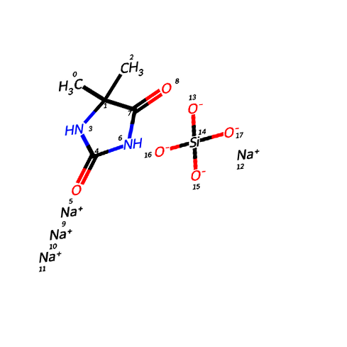 CC1(C)NC(=O)NC1=O.[Na+].[Na+].[Na+].[Na+].[O-][Si]([O-])([O-])[O-]